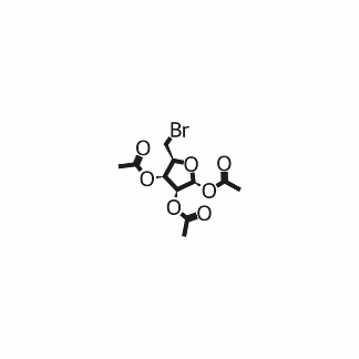 CC(=O)O[C@H]1O[C@H](CBr)[C@@H](OC(C)=O)[C@H]1OC(C)=O